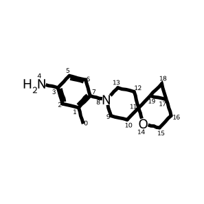 Cc1cc(N)ccc1N1CCC2(CC1)OCCC1CC12